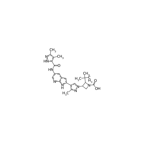 Cc1nn(C2CN(C(=O)O)C2C(C)(C)C)cc1-c1cc2cc(NC(=O)c3[nH]nc(C)c3C)cnc2[nH]1